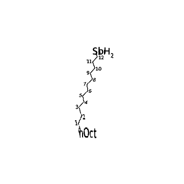 CCCCCCCCCCCCCCCCCCC[CH2][SbH2]